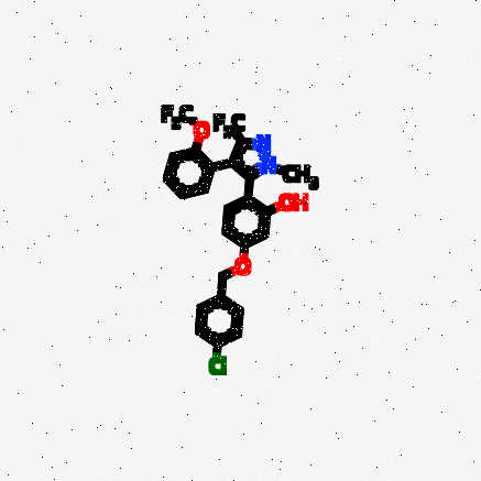 Cn1nc(C(F)(F)F)c(-c2ccccc2OC(F)(F)F)c1-c1ccc(OCc2ccc(Cl)cc2)cc1O